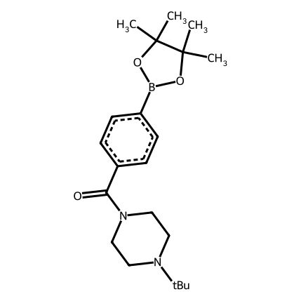 CC(C)(C)N1CCN(C(=O)c2ccc(B3OC(C)(C)C(C)(C)O3)cc2)CC1